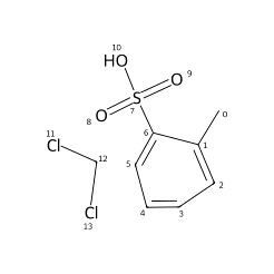 Cc1ccccc1S(=O)(=O)O.ClCCl